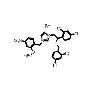 CCCCOc1cc([N+](=O)[O-])ccc1C[n+]1ccn(CC(OCc2ccc(Cl)cc2Cl)c2ccc(Cl)cc2Cl)c1.[Br-]